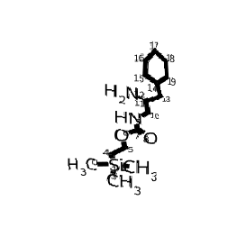 C[Si](C)(C)CCOC(=O)NC[C@@H](N)CC1CCCCC1